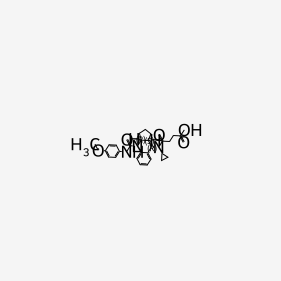 COc1ccc(NC(=O)N2c3ccccc3[C@H](N(C(=O)CCC(=O)O)C3CC3)[C@H]3CCC[C@H]32)cc1